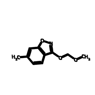 COCOc1noc2cc(C)ccc12